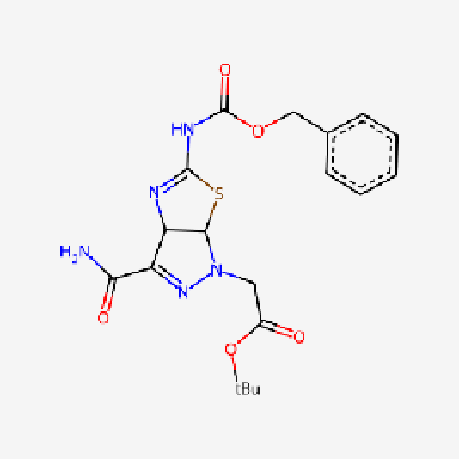 CC(C)(C)OC(=O)CN1N=C(C(N)=O)C2N=C(NC(=O)OCc3ccccc3)SC21